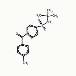 Cc1ccc(C(=O)c2ccc(S(=O)(=O)NC(C)(C)C)cc2)cc1